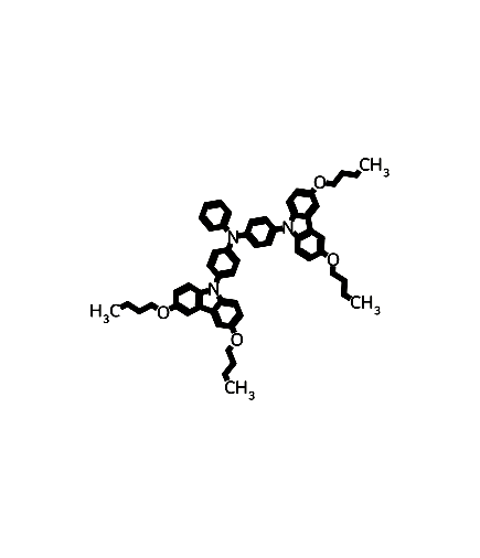 CCCCOc1ccc2c(c1)c1cc(OCCCC)ccc1n2-c1ccc(N(c2ccccc2)c2ccc(-n3c4ccc(OCCCC)cc4c4cc(OCCCC)ccc43)cc2)cc1